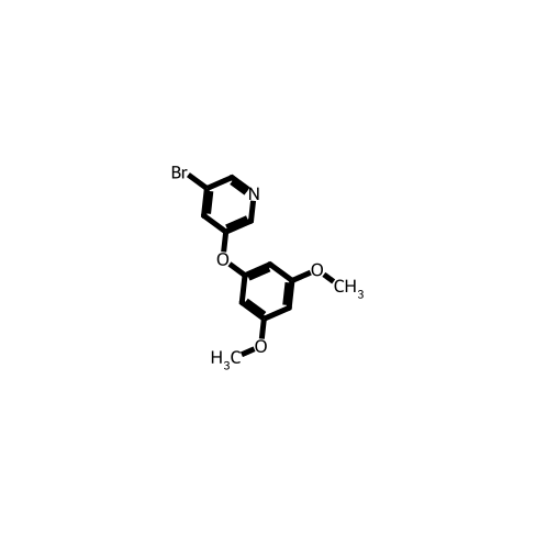 COc1cc(OC)cc(Oc2cncc(Br)c2)c1